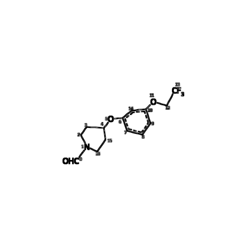 O=CN1CCC(Oc2cccc(OCC(F)(F)F)c2)CC1